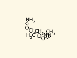 Cc1nccc(Oc2ccc(C(C)(C)c3ccc(O[C@H]4C[C@H](N)C4)cc3)cc2)n1